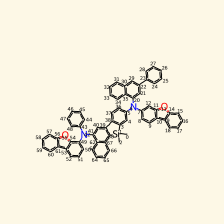 C[Si]1(C)c2cc(N(c3ccc4c(c3)oc3ccccc34)c3cc(-c4ccccc4)cc4ccccc34)ccc2-c2cc(N(c3ccccc3)c3cccc4c3oc3ccccc34)c3ccccc3c21